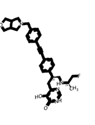 C[C@@H](CF)NC[C@@H](Cc1nc[nH]c(=O)c1O)c1ccc(C#Cc2ccc(CN3CC4COCC4C3)cc2)cc1